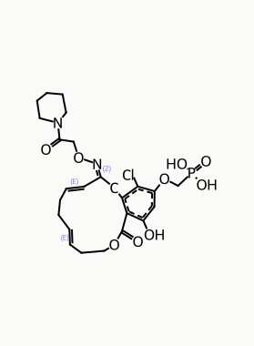 O=C1OCC/C=C/CC/C=C/C(=N\OCC(=O)N2CCCCC2)Cc2c(Cl)c(OCP(=O)(O)O)cc(O)c21